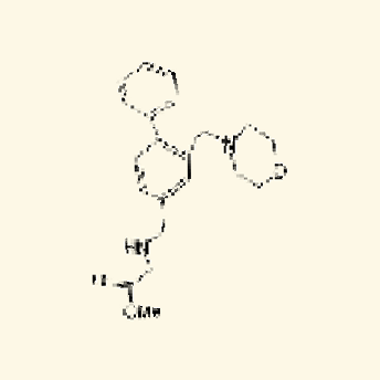 COC(=O)CNCc1ccc(-c2ccccc2)c(CN2CCOCC2)c1